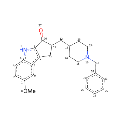 COc1ccc2[nH]c3c(c2c1)CC(CC1CCN(Cc2ccccc2)CC1)C3=O